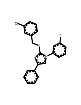 Fc1cccc(-n2cc(-c3ccccc3)nc2SCc2cccc(Cl)c2)c1